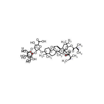 C/C=C(/C)C(=O)O[C@H]1[C@H](OC(=O)/C(C)=C\C)[C@@]2(CO)C(CC1(C)C)C1=CCC3[C@@]4(C)CC[C@H](O[C@@H]5OC(C(=O)O)[C@@H](O)[C@@H](O[C@@H]6O[C@@H](CO)C(O)[C@@H]6O)C5O[C@@H]5OC(CO)[C@H](O)[C@@H](O)C5O)C(C)(C)C4CC[C@@]3(C)[C@]1(C)C[C@@H]2O